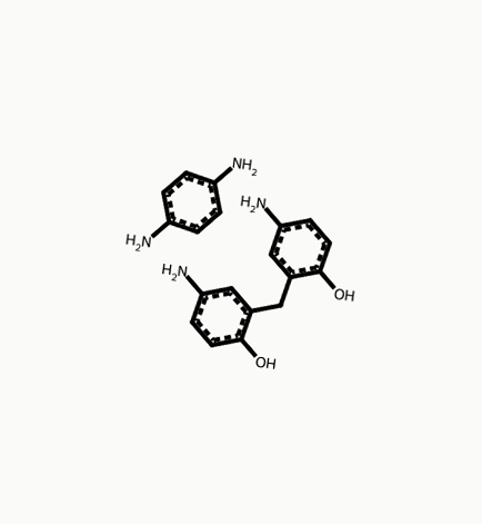 Nc1ccc(N)cc1.Nc1ccc(O)c(Cc2cc(N)ccc2O)c1